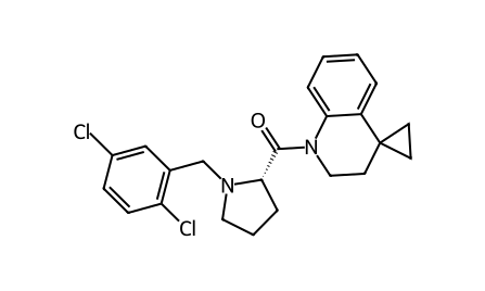 O=C([C@@H]1CCCN1Cc1cc(Cl)ccc1Cl)N1CCC2(CC2)c2ccccc21